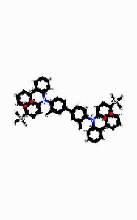 Cc1cc(-c2ccc(N(c3ccc([Si](C)(C)C)cc3)c3ccccc3-c3ccccc3)c(C)c2)ccc1N(c1ccc([Si](C)(C)C)cc1)c1ccccc1-c1ccccc1